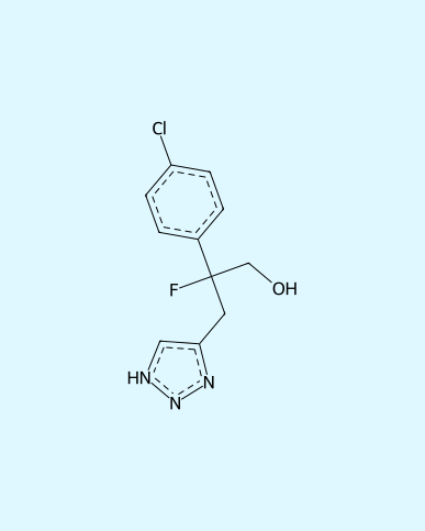 OCC(F)(Cc1c[nH]nn1)c1ccc(Cl)cc1